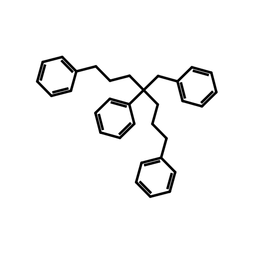 c1ccc(CCCC(CCCc2ccccc2)(Cc2ccccc2)c2ccccc2)cc1